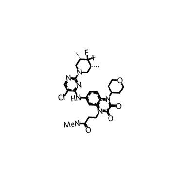 CNC(=O)CCn1c(=O)c(=O)n(C2CCOCC2)c2ccc(Nc3nc(N4C[C@@H](C)C(F)(F)[C@@H](C)C4)ncc3Cl)cc21